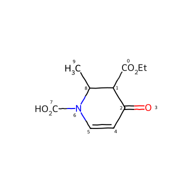 CCOC(=O)C1C(=O)C=CN(C(=O)O)C1C